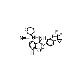 N#CC[C@@]1(Nc2cc[nH]c(=O)c2C(=N)Nc2ccc(C3(C(F)(F)F)CC3)cc2)CCCOC1